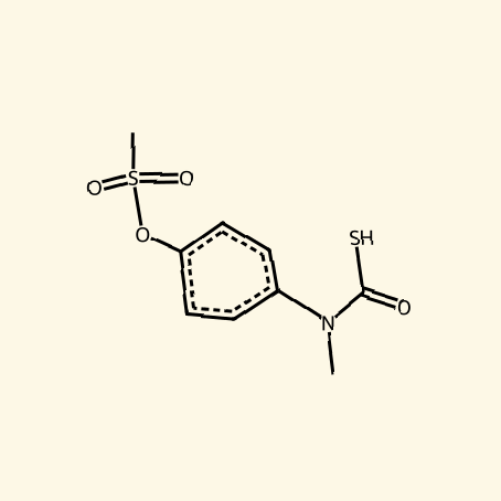 CN(C(=O)S)c1ccc(OS(C)(=O)=O)cc1